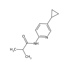 CC(C)C(=O)Nc1ccc(C2CC2)cn1